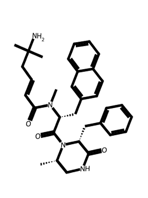 C[C@H]1CNC(=O)[C@@H](Cc2ccccc2)N1C(=O)[C@@H](Cc1ccc2ccccc2c1)N(C)C(=O)/C=C/CC(C)(C)N